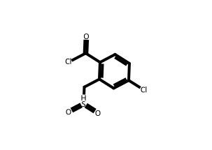 O=C(Cl)c1ccc(Cl)cc1C[SH](=O)=O